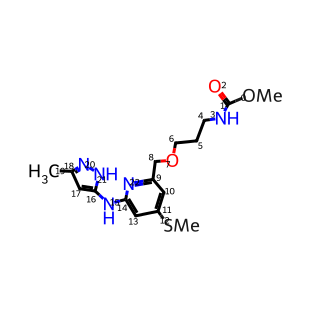 COC(=O)NCCCOCc1cc(SC)cc(Nc2cc(C)n[nH]2)n1